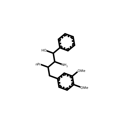 CCCC(Cc1ccc(OC)c(OC)c1)C(N)C(O)c1ccccc1